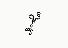 c1ccc(-c2nc(-c3ccc(-n4c5cc6ccccc6cc5c5c6ccccc6ccc54)cc3)nc(-c3cccc4c3sc3ccccc34)n2)cc1